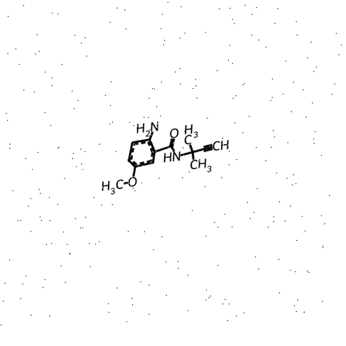 C#CC(C)(C)NC(=O)c1cc(OC)ccc1N